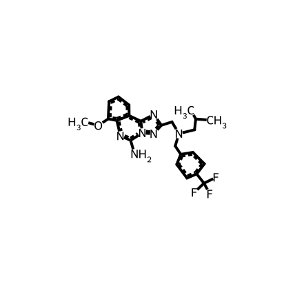 COc1cccc2c1nc(N)n1nc(CN(Cc3ccc(C(F)(F)F)cc3)CC(C)C)nc21